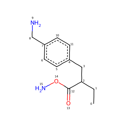 CCC(Cc1ccc(CN)cc1)C(=O)ON